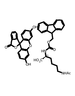 CC(=O)NCCCC[C@H](NC(=O)OCC1c2ccccc2-c2ccccc21)C(=O)O.O=C1OC2(c3ccc(O)cc3Oc3cc(O)ccc32)c2ccccc21